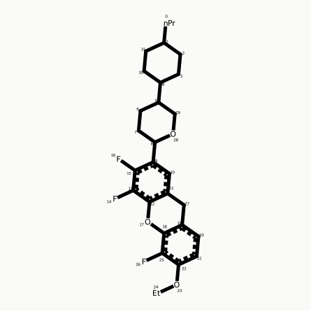 CCCC1CCC(C2CCC(c3cc4c(c(F)c3F)Oc3c(ccc(OCC)c3F)C4)OC2)CC1